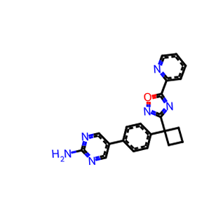 Nc1ncc(-c2ccc(C3(c4noc(-c5ccccn5)n4)CCC3)cc2)cn1